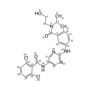 CC(C)N(CCO)C(=O)c1cccc(Nc2ncc(NC(=O)c3c(Cl)cccc3Cl)cn2)c1